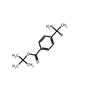 CC(C)(C)OC(=O)c1ccc(C(C)(N)F)cc1